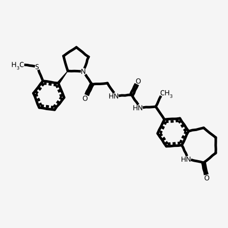 CSc1ccccc1[C@H]1CCCN1C(=O)CNC(=O)NC(C)c1ccc2c(c1)CCCC(=O)N2